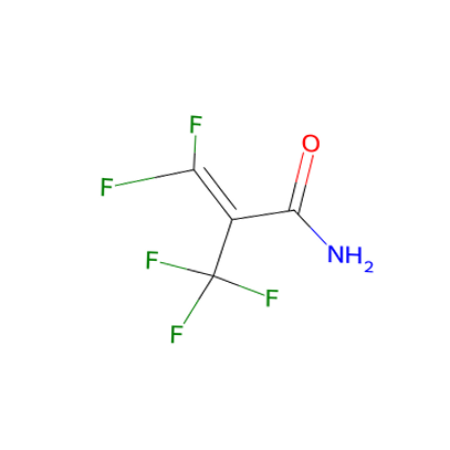 NC(=O)C(=C(F)F)C(F)(F)F